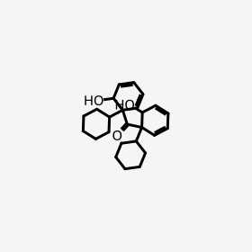 O=C(C1(C2CCCCC2)C=CC=CC1O)C1(C2CCCCC2)C=CC=CC1O